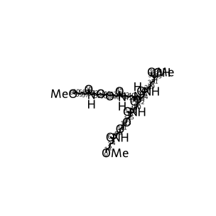 COCCCCC(=O)NCCOCCOCCC(=O)NCCCCC(CC(=O)NCCCCC(CO)COC)NC(=O)CCCNC(=O)CCOCCOCCNC(=O)CCCCOC